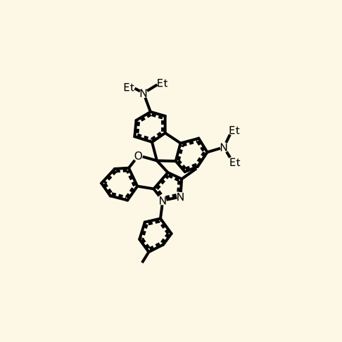 CCN(CC)c1ccc2c(c1)-c1cc(N(CC)CC)ccc1C21Oc2ccccc2-c2c1c(C)nn2-c1ccc(C)cc1